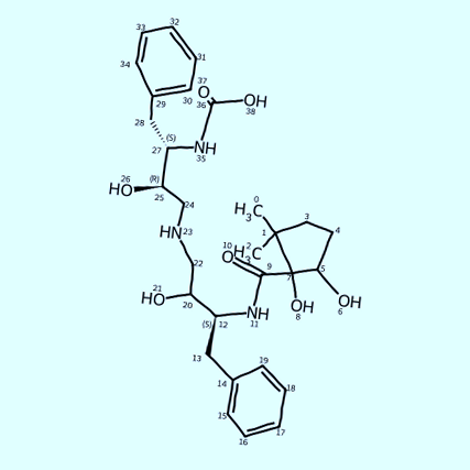 CC1(C)CCC(O)C1(O)C(=O)N[C@@H](Cc1ccccc1)C(O)CNC[C@@H](O)[C@H](Cc1ccccc1)NC(=O)O